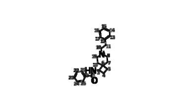 O=C(NC1CCC12CCN(CCc1ccccc1)CC2)c1ccccc1